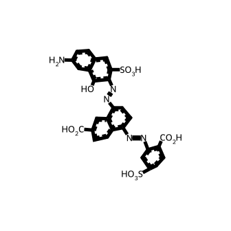 Nc1ccc2cc(S(=O)(=O)O)c(/N=N/c3ccc(/N=N/c4cc(S(=O)(=O)O)ccc4C(=O)O)c4ccc(C(=O)O)cc34)c(O)c2c1